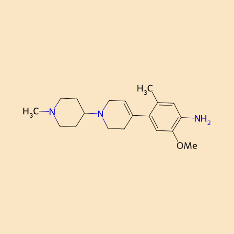 COc1cc(C2=CCN(C3CCN(C)CC3)CC2)c(C)cc1N